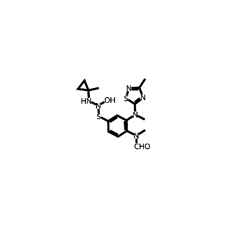 Cc1nsc(N(C)c2cc(SN(O)NC3(C)CC3)ccc2N(C)C=O)n1